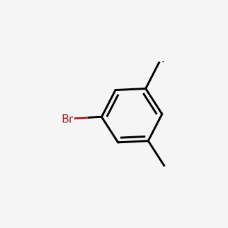 [CH2]c1cc(C)cc(Br)c1